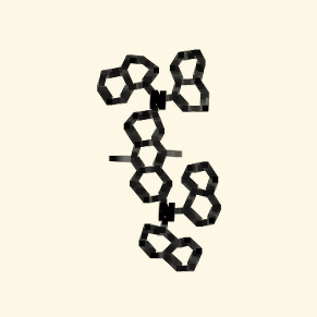 Cc1c2ccc(N(c3cccc4ccccc34)c3cccc4ccccc34)cc2c(C)c2cc(N(c3cccc4ccccc34)c3cccc4ccccc34)ccc12